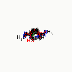 C/N=C/c1cncc(COc2cc(OCc3cccc(-c4cccc(COc5cc(OCc6cncc(/C=N/C)c6)c(CN(CC(C)C)CC(CCO)C(=O)O)cc5Cl)c4C)c3C)c(Cl)cc2CNCC(C)C)c1